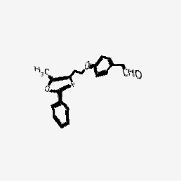 Cc1oc(-c2ccccc2)nc1CCOc1ccc(CC=O)cc1